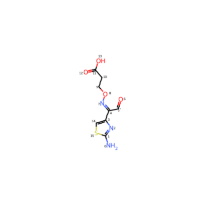 Nc1nc(C([C]=O)=NOCCC(=O)O)cs1